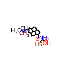 CC(C)(C)/[N+]([O-])=C/c1cc2ccc3ccc(C(=O)NC(CS)C(=O)O)c4ccc(c1)c2c34